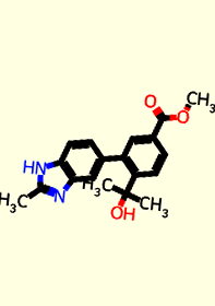 COC(=O)c1ccc(C(C)(C)O)c(-c2ccc3[nH]c(C)nc3c2)c1